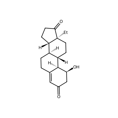 CC[C@]12CC[C@H]3[C@@H](CCC4=CC(=O)C[C@H](O)[C@@H]43)[C@@H]1CCC2=O